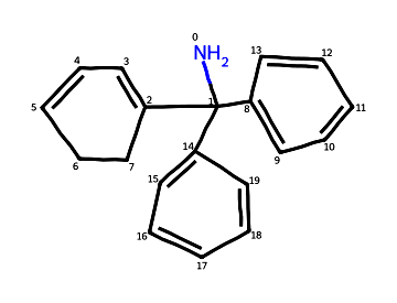 NC(C1=CC=CCC1)(c1ccccc1)c1ccccc1